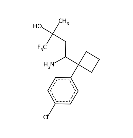 CC(O)(CC(N)C1(c2ccc(Cl)cc2)CCC1)C(F)(F)F